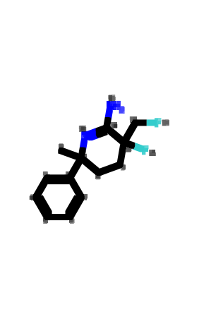 CC1(c2ccccc2)CCC(F)(CF)C(N)=N1